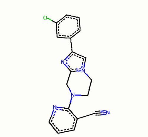 N#Cc1cccnc1N1CCn2cc(-c3cccc(Cl)c3)nc2C1